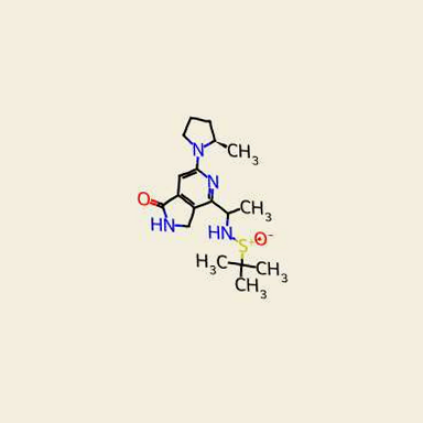 CC(N[S@@+]([O-])C(C)(C)C)c1nc(N2CCC[C@H]2C)cc2c1CNC2=O